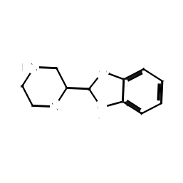 c1ccc2c(c1)OC(C1CNCC[N]1)O2